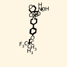 CC(C)(COc1ccc(C2CCN(S(=O)(=O)C3(C(=O)NO)CCOCC3)CC2)cc1)C(F)(F)F